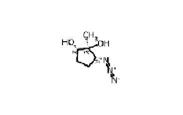 C[C@@]1(O)[C@@H](O)CC[C@H]1N=[N+]=[N-]